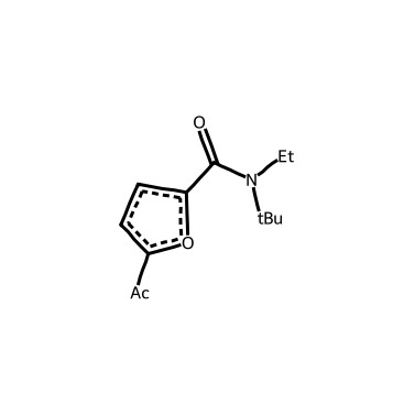 CCN(C(=O)c1ccc(C(C)=O)o1)C(C)(C)C